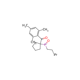 Cc1cc(C)c(C(=O)C2([P](=O)CCC(C)C)CCCC2)c(C)c1